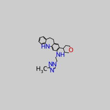 Cc1ncn(CCNc2cc3c(cc2C2CCOCC2)CCc2ccccc2N3)n1